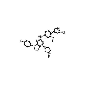 COc1cc(Nc2nc3c(c(N4CC[C@@H](F)C4)n2)CCC3c2ccc(F)cc2)ccc1-n1cnc(Cl)c1